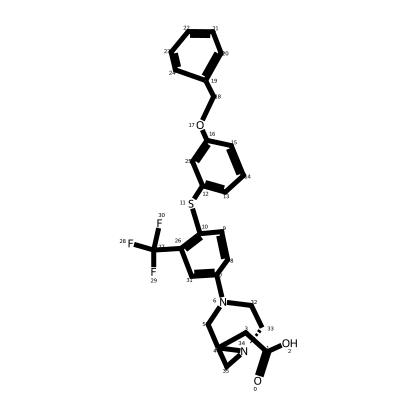 O=C(O)CC12CN(c3ccc(Sc4cccc(OCc5ccccc5)c4)c(C(F)(F)F)c3)CC[N@]1C2